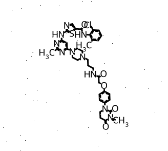 Cc1nc(Nc2ncc(C(=O)Nc3c(C)cccc3Cl)s2)cc(N2CCN(CCCNC(=O)COc3ccc(N4CCC(=O)N(C)C4=O)cc3)CC2)n1